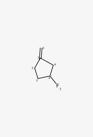 C=C1CC[C](F)C1